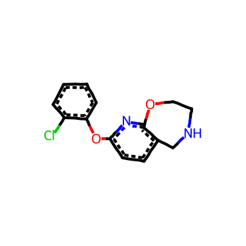 Clc1ccccc1Oc1ccc2c(n1)OCCNC2